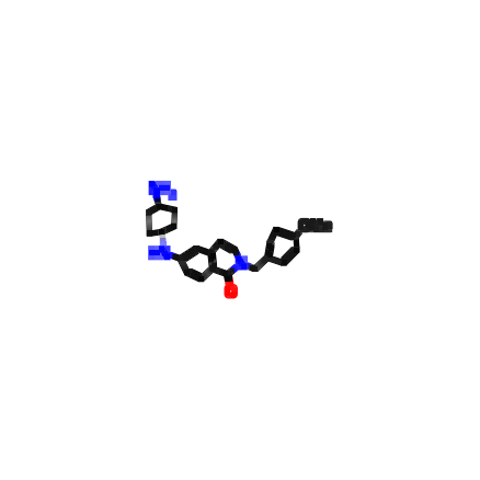 COc1ccc(Cn2ccc3cc(N[C@H]4CC[C@H](N)CC4)ccc3c2=O)cc1